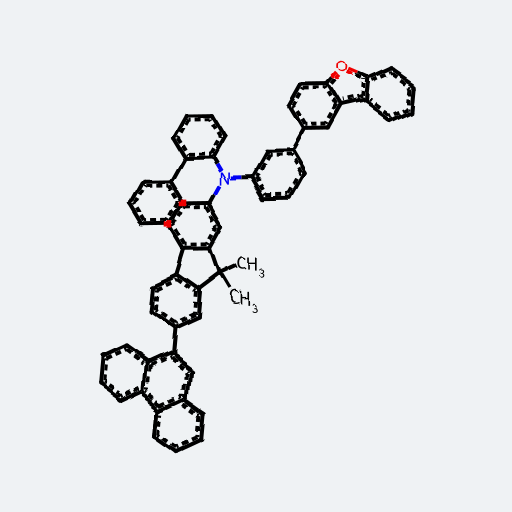 CC1(C)c2cc(-c3cc4ccccc4c4ccccc34)ccc2-c2ccc(N(c3cccc(-c4ccc5oc6ccccc6c5c4)c3)c3ccccc3-c3ccccc3)cc21